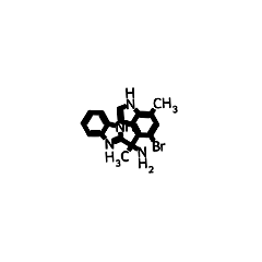 Cc1cc(Br)c(C(C)(N)c2nc3ccccc3[nH]2)c2cc[nH]c12